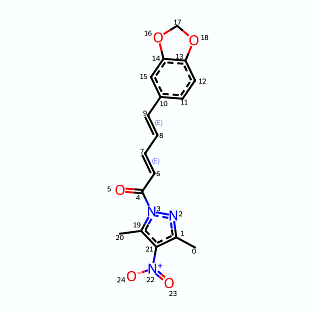 Cc1nn(C(=O)/C=C/C=C/c2ccc3c(c2)OCO3)c(C)c1[N+](=O)[O-]